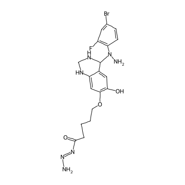 NN=NC(=O)CCCCOc1cc2c(cc1O)C(N(N)c1ccc(Br)cc1F)NCN2